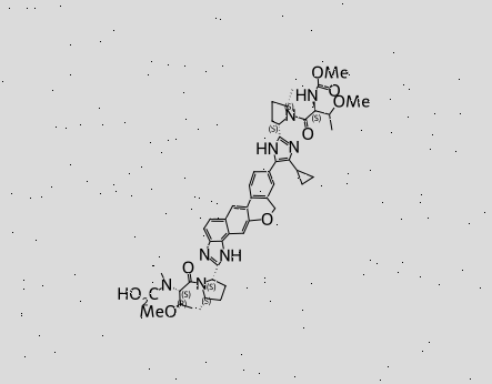 COC(=O)N[C@H](C(=O)N1[C@@H](C)CC[C@H]1c1nc(C2CC2)c(-c2ccc3c(c2)COc2cc4c(ccc5nc([C@@H]6CC[C@H](C)N6C(=O)[C@H]([C@@H](C)OC)N(C)C(=O)O)[nH]c54)cc2-3)[nH]1)C(C)OC